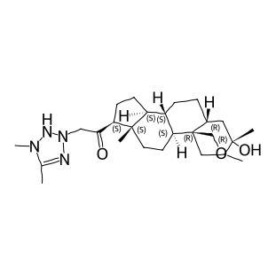 COC[C@]12CC[C@@](C)(O)C[C@H]1CC[C@H]1[C@@H]3CC[C@H](C(=O)CN4N=C(C)N(C)N4)[C@@]3(C)CC[C@@H]12